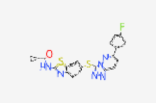 O=C(Nc1nc2ccc(Sc3nnc4ccc(-c5ccc(F)cc5)nn34)cc2s1)C1CC1